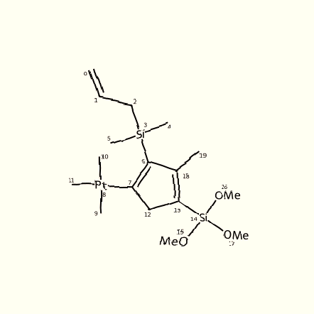 C=CC[Si](C)(C)C1=[C]([Pt]([CH3])([CH3])[CH3])CC([Si](OC)(OC)OC)=C1C